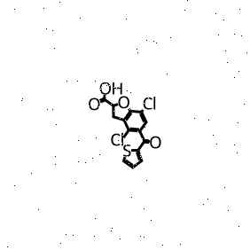 O=C(c1cccs1)c1cc(Cl)c2c(c1Cl)CC(C(=O)O)O2